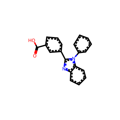 O=C(O)c1cccc(-c2nc3ccccc3n2-c2ccccc2)c1